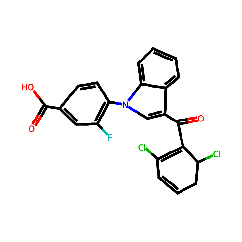 O=C(O)c1ccc(-n2cc(C(=O)C3=C(Cl)C=CCC3Cl)c3ccccc32)c(F)c1